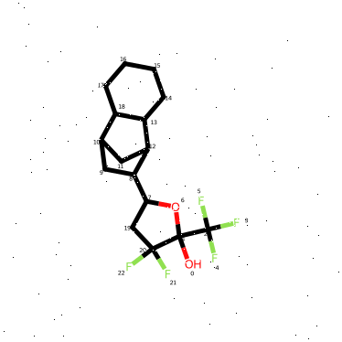 OC1(C(F)(F)F)OC(C2CC3CC2C2CCCCC32)CC1(F)F